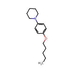 CCCCCOc1ccc(N2CCCCC2)cc1